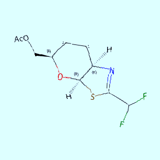 CC(=O)OC[C@H]1[C][C][C@H]2N=C(C(F)F)S[C@H]2O1